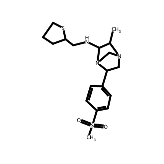 CC1C(NCC2CCCS2)N2CN1CC2c1ccc(S(C)(=O)=O)cc1